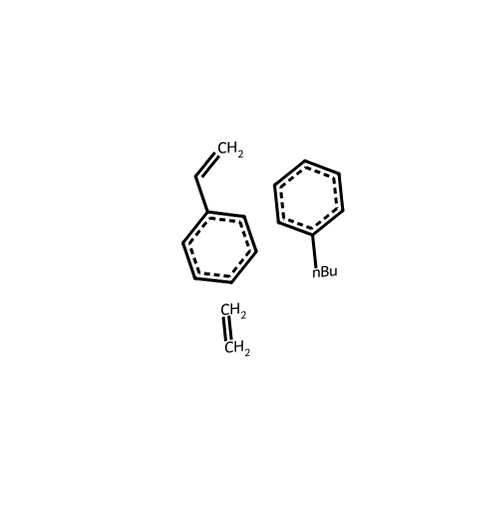 C=C.C=Cc1ccccc1.CCCCc1ccccc1